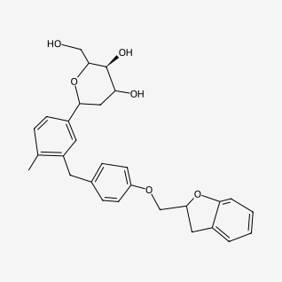 Cc1ccc(C2CC(O)[C@H](O)C(CO)O2)cc1Cc1ccc(OCC2Cc3ccccc3O2)cc1